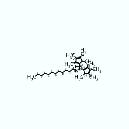 CCCCCCCCCCCC[NH][Ti]([C]1=C(C)C(C)=C(C)C1C)[C]1=C(C)C(C)=C(C)C1C